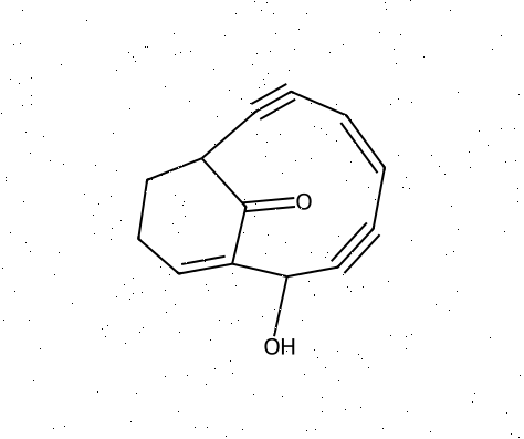 O=C1C2=CCCC1C#CC=CC#CC2O